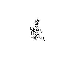 CCN(C(=O)C(=O)Nc1cnc(N)c2cn[nH]c12)C(C)c1ccc(S(F)(F)(F)(F)F)cc1